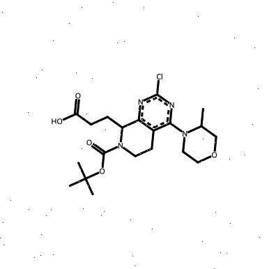 CC1COCCN1c1nc(Cl)nc2c1CCN(C(=O)OC(C)(C)C)C2CCC(=O)O